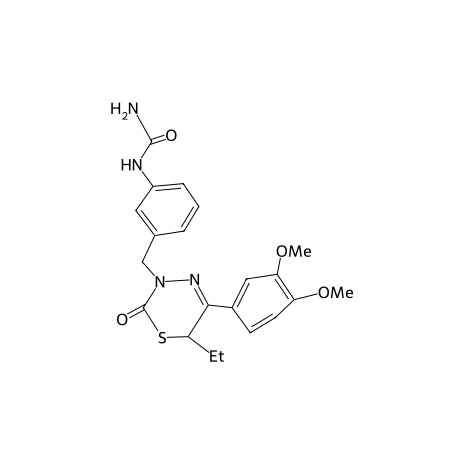 CCC1SC(=O)N(Cc2cccc(NC(N)=O)c2)N=C1c1ccc(OC)c(OC)c1